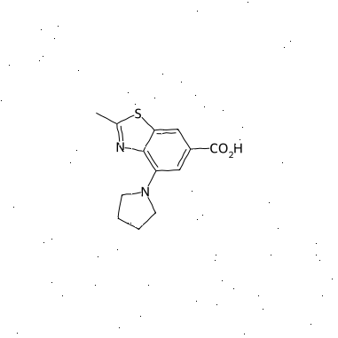 Cc1nc2c(N3CCCC3)cc(C(=O)O)cc2s1